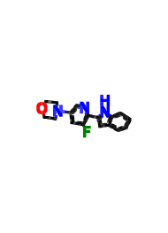 Fc1cc(N2CCOCC2)cnc1-c1cc2ccccc2[nH]1